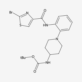 CC(C)(C)OC(=O)NC1CCN(c2ccccc2NC(=O)c2csc(Br)n2)CC1